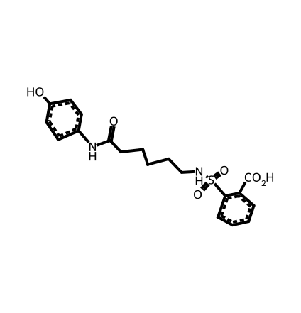 O=C(CCCCCNS(=O)(=O)c1ccccc1C(=O)O)Nc1ccc(O)cc1